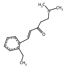 CCc1ccccc1C=CC(=O)CCN(C)C